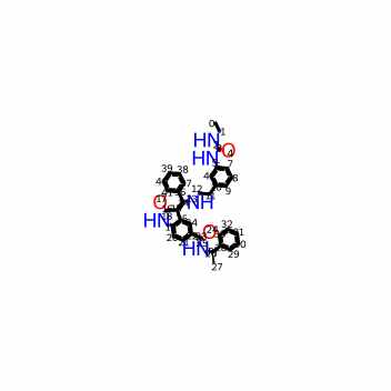 CCNC(=O)Nc1cccc(CCNC(=C2C(=O)Nc3ccc(C(=O)N[C@H](C)c4ccccc4)cc32)c2ccccc2)c1